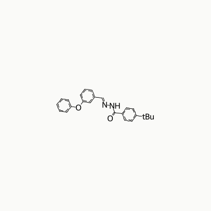 CC(C)(C)c1ccc(C(=O)NN=Cc2cccc(Oc3ccccc3)c2)cc1